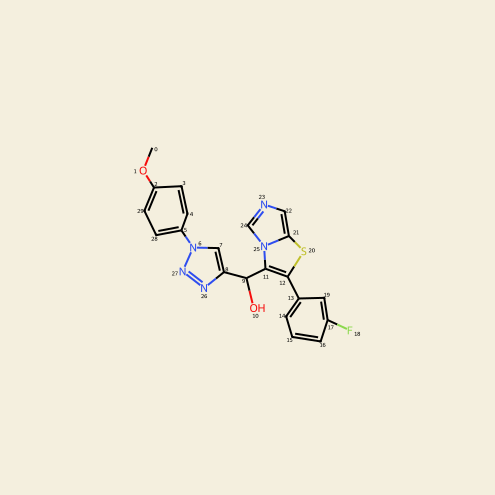 COc1ccc(-n2cc(C(O)c3c(-c4cccc(F)c4)sc4cncn34)nn2)cc1